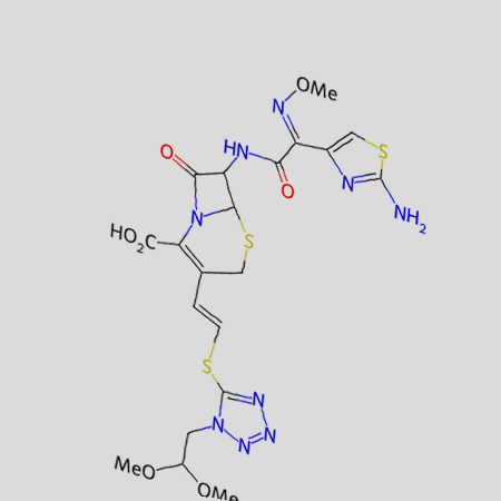 CON=C(C(=O)NC1C(=O)N2C(C(=O)O)=C(C=CSc3nnnn3CC(OC)OC)CSC12)c1csc(N)n1